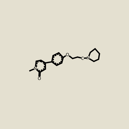 Cn1ccc(-c2ccc(OCCCN3CCCCC3)cc2)cc1=O